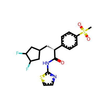 CS(=O)(=O)c1ccc([C@@H](CC2CC(F)C(F)C2)C(=O)Nc2nccs2)cc1